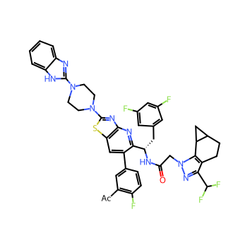 CC(=O)c1cc(-c2cc3sc(N4CCN(c5nc6ccccc6[nH]5)CC4)nc3nc2[C@H](Cc2cc(F)cc(F)c2)NC(=O)Cn2nc(C(F)F)c3c2C2CC2CC3)ccc1F